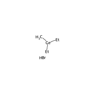 Br.C[CH2][Ge]([CH3])[CH2]C